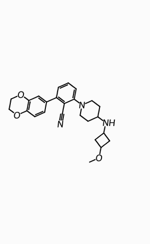 COC1CC(NC2CCN(c3cccc(-c4ccc5c(c4)OCCO5)c3C#N)CC2)C1